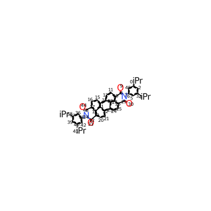 CC(C)c1cc(C(C)C)cc(N2C(=O)c3ccc4c5ccc6c7c(ccc(c8ccc(c3c48)C2=O)c75)C(=O)N(c2cc(C(C)C)cc(C(C)C)c2)C6=O)c1